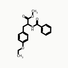 CCOc1ccc(CC(NC(=O)c2ccccc2)C(=O)OC)cc1